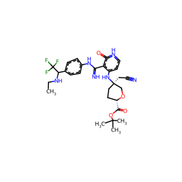 CCNC(c1ccc(NC(=N)c2c(N[C@]3(CC#N)CC[C@@H](C(=O)OC(C)(C)C)OC3)cc[nH]c2=O)cc1)C(F)(F)F